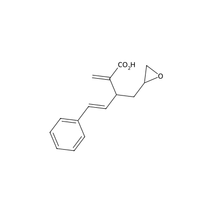 C=C(C(=O)O)C(C=Cc1ccccc1)CC1CO1